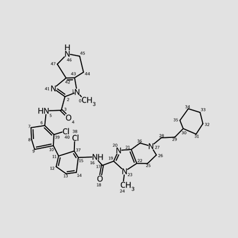 Cn1c(C(=O)Nc2cccc(-c3cccc(NC(=O)c4nc5c(n4C)CCN(CCC4CCCCC4)C5)c3Cl)c2Cl)nc2c1CCNC2